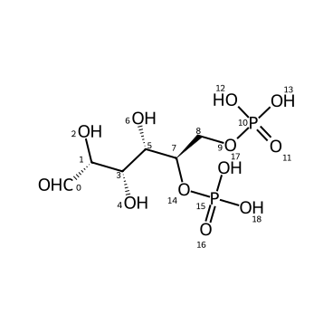 O=C[C@H](O)[C@@H](O)[C@H](O)[C@@H](COP(=O)(O)O)OP(=O)(O)O